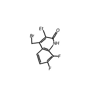 CCc1c(CBr)c2ccc(F)c(F)c2[nH]c1=O